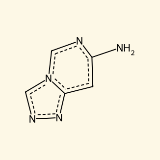 Nc1cc2nncn2cn1